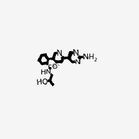 CC(O)CN[S+]([O-])c1ccccc1-c1ccc(-c2cnc(N)nc2)nc1